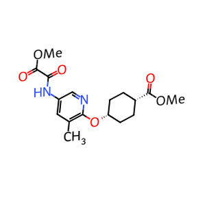 COC(=O)C(=O)Nc1cnc(O[C@H]2CC[C@@H](C(=O)OC)CC2)c(C)c1